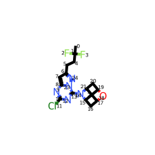 CC(F)(F)CCc1cc2nc(Cl)nc(N3C4CC5OC6CC3C564)n2n1